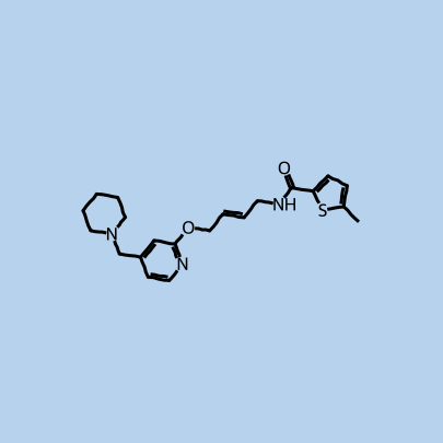 Cc1ccc(C(=O)NCC=CCOc2cc(CN3CCCCC3)ccn2)s1